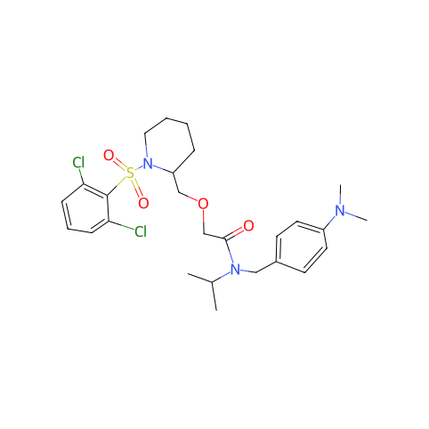 CC(C)N(Cc1ccc(N(C)C)cc1)C(=O)COCC1CCCCN1S(=O)(=O)c1c(Cl)cccc1Cl